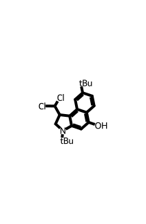 CC(C)(C)c1ccc2c(O)cc3c(c2c1)C(C(Cl)Cl)CN3C(C)(C)C